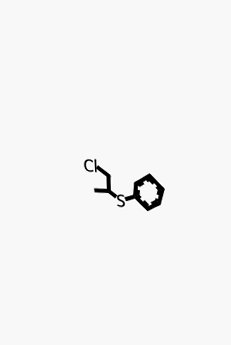 CC(CCl)Sc1ccccc1